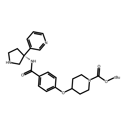 CC(C)(C)OC(=O)N1CCC(Oc2ccc(C(=O)N[C@@]3(c4cccnc4)CCNC3)cc2)CC1